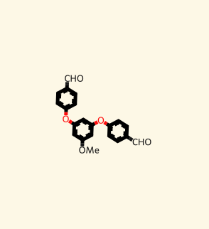 COc1cc(Oc2ccc(C=O)cc2)cc(Oc2ccc(C=O)cc2)c1